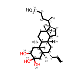 C=CC[C@H]1C[C@@H]2[C@H](CC[C@]3(C)[C@@H]([C@H](C)CCC(=O)O)CC[C@@H]23)[C@@]2(C)CC(O)C(O)(O)C[C@@H]12